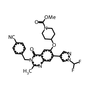 COC(=O)N1CCC(Oc2cc3c(=O)n(Cc4ccc(C#N)cc4)c(C)nc3cc2-c2cnn(C(F)F)c2)CC1